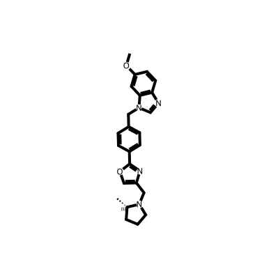 COc1ccc2ncn(Cc3ccc(-c4nc(CN5CCC[C@@H]5C)co4)cc3)c2c1